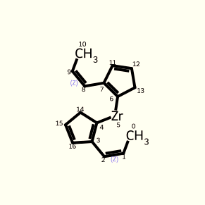 C/C=C\C1=[C]([Zr][C]2=C(/C=C\C)C=CC2)CC=C1